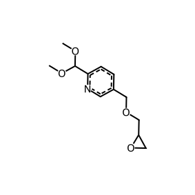 COC(OC)c1ccc(COCC2CO2)cn1